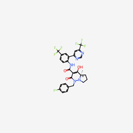 C[C@]12CCCN1N(Cc1ccc(F)cc1)C(=O)C(C(=O)Nc1ccc(C(F)(F)F)cc1-c1cc(C(F)(F)F)ncn1)=C2O